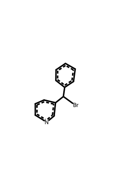 BrC(c1ccccc1)c1cccnc1